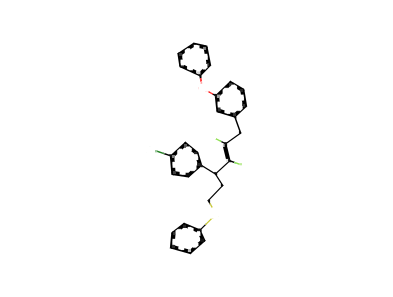 FC(Cc1cccc(Oc2ccccc2)c1)=C(F)C(CCSc1ccccc1)c1ccc(Cl)cc1